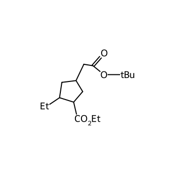 CCOC(=O)C1CC(CC(=O)OC(C)(C)C)CC1CC